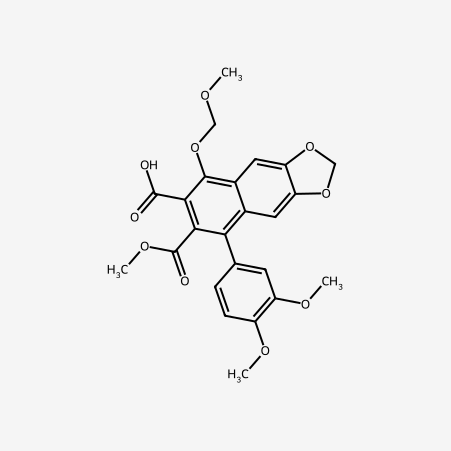 COCOc1c(C(=O)O)c(C(=O)OC)c(-c2ccc(OC)c(OC)c2)c2cc3c(cc12)OCO3